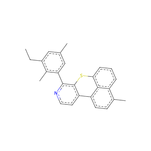 CCc1cc(C)cc(-c2nccc3c2Sc2cccc4c(C)ccc-3c24)c1C